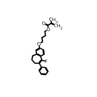 C=C(C)C(=O)OCCCCOc1ccc2c(c1)CCCC(c1ccccc1)=C2F